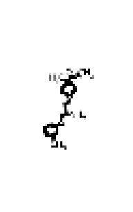 COC(=O)C1(C)CCN(CC[C@@H](N)CSc2cccc(C)c2)CC1